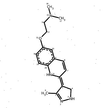 CC1=NNCC1=C1C=Cc2cc(OCCN(C)C)ccc2N1